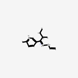 C=CO/N=C(/c1ccc(C)nc1)C(C)CC